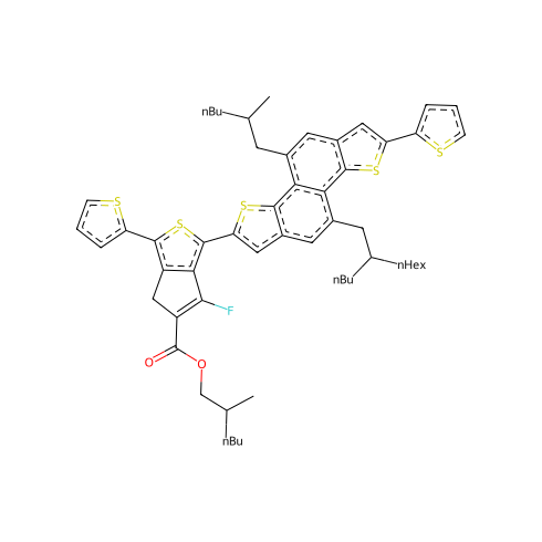 CCCCCCC(CCCC)Cc1cc2cc(-c3sc(-c4cccs4)c4c3C(F)=C(C(=O)OCC(C)CCCC)C4)sc2c2c(CC(C)CCCC)cc3cc(-c4cccs4)sc3c12